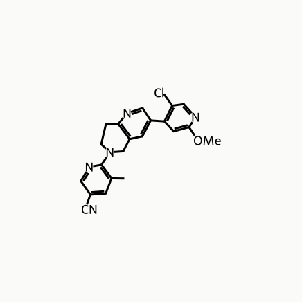 COc1cc(-c2cnc3c(c2)CN(c2ncc(C#N)cc2C)CC3)c(Cl)cn1